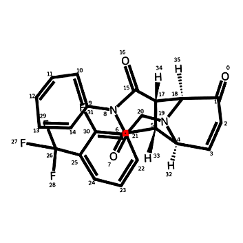 O=C1C=C[C@H]2[C@@H]3C(=O)N(c4ccccc4)C(=O)[C@@H]3[C@@H]1N2Cc1cccc(C(F)(F)F)c1F